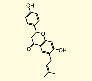 CC(C)=CCc1cc2c(cc1O)O[C@H](c1ccc(O)cc1)CC2=O